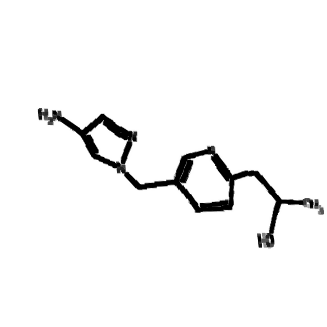 CC(O)Cc1ccc(Cn2cc(N)cn2)cn1